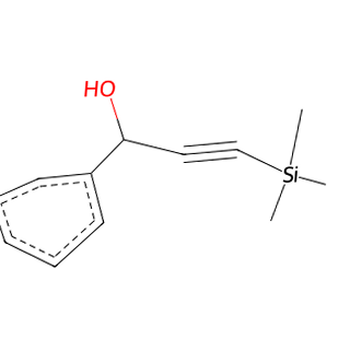 C[Si](C)(C)C#CC(O)c1ccccc1